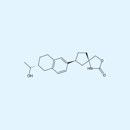 CC(O)[C@@H]1CCc2cc([C@H]3CC[C@]4(COC(=O)N4)C3)ccc2C1